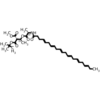 CCC=CCC=CCC=CCC=CCC=CCC=CCCC(=O)N[C@@H](C)C(=O)O[C@@H](C)[C@@H](C(=O)OC)C(=O)OC(C)(C)C